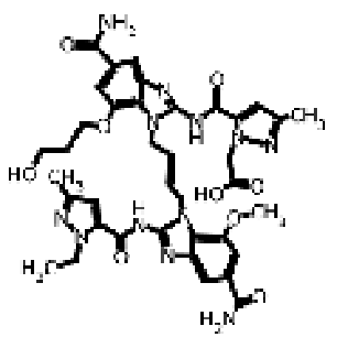 CCn1nc(C)cc1C(=O)Nc1nc2cc(C(N)=O)cc(OC)c2n1C/C=C/Cn1c(NC(=O)c2cc(C)nn2CC(=O)O)nc2cc(C(N)=O)cc(OCCCO)c21